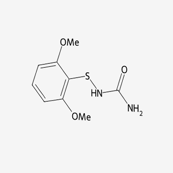 COc1cccc(OC)c1SNC(N)=O